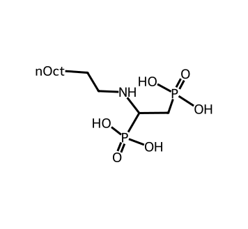 CCCCCCCCCCNC(CP(=O)(O)O)P(=O)(O)O